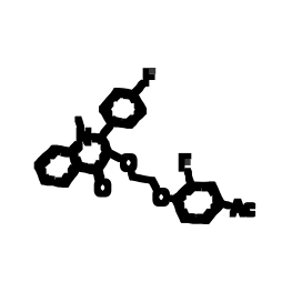 CC(=O)c1ccc(OCCOc2c(-c3ccc(F)cc3)n(C)c3ccccc3c2=O)c(F)c1